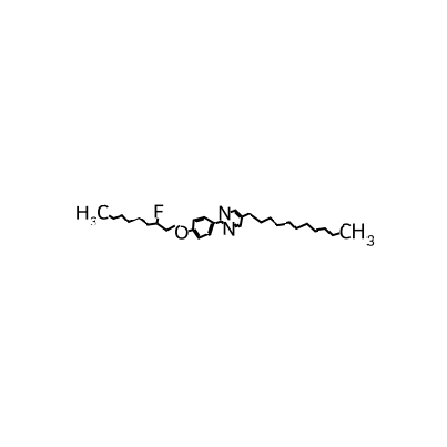 CCCCCCCCCCCc1cnc(-c2ccc(OCCC(F)CCCCCC)cc2)nc1